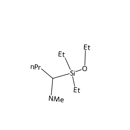 CCCC(NC)[Si](CC)(CC)OCC